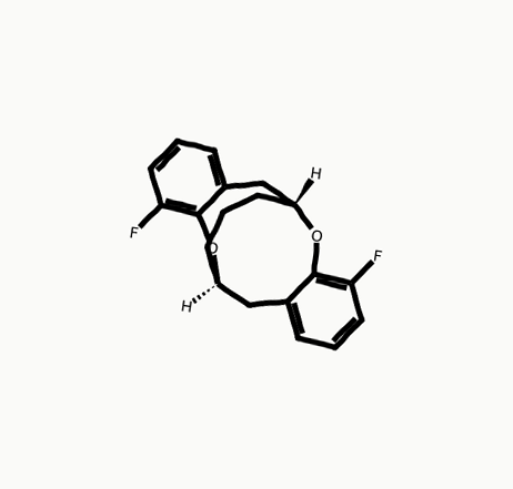 Fc1cccc2c1O[C@@H]1CCC[C@H](C2)Oc2c(F)cccc2C1